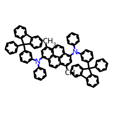 Cc1cc(N(c2ccccc2)c2cccc(C3(c4ccccc4)c4ccccc4-c4ccccc43)c2)c2ccc3c(C)cc(N(c4ccccc4)c4cccc(C5(c6ccccc6)c6ccccc6-c6ccccc65)c4)c4ccc1c2c34